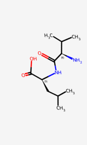 CC(C)C[C@H](NC(=O)[C@H](N)C(C)C)C(=O)O